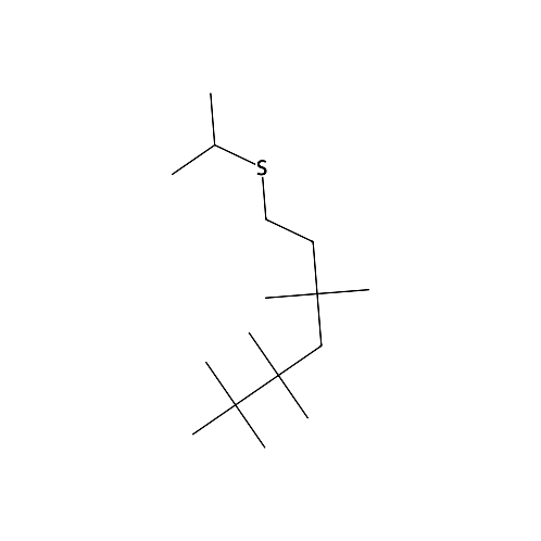 CC(C)SCCC(C)(C)CC(C)(C)C(C)(C)C